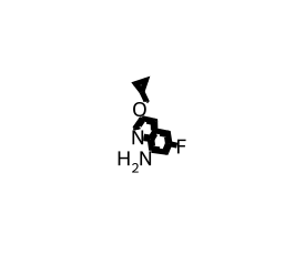 Nc1cc(F)cc2cc(OCC3CC3)cnc12